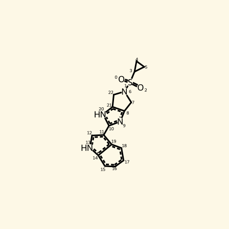 O=S(=O)(C1CC1)N1Cc2nc(-c3c[nH]c4ccccc34)[nH]c2C1